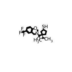 CC(C)[C@]1(C(=O)N2COc3ccc(C(F)(F)F)cc3C2)CC[C@@H](S)C1